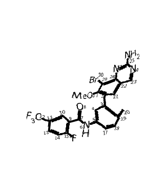 COc1c(-c2cc(NC(=O)c3cc(C(F)(F)F)ccc3F)ccc2C)cc2cnc(N)nc2c1Br